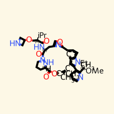 CCn1c(-c2cccnc2[C@H](C)OC)c2c3cc(ccc31)-c1nc(co1)C[C@H](NC(=O)[C@@H](COC1CNC1)C(C)C)C(=O)N1CCC[C@H](N1)C(=O)OCC(C)(C)C2